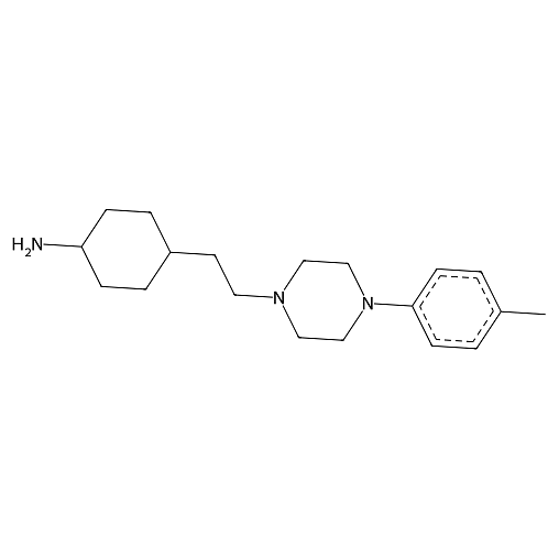 Cc1ccc(N2CCN(CCC3CCC(N)CC3)CC2)cc1